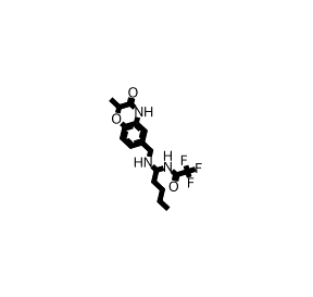 CCCCC(NCc1ccc2c(c1)NC(=O)C(C)O2)NC(=O)C(F)(F)F